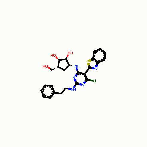 OC[C@H]1C[C@@H](Nc2nc(NCCc3ccccc3)nc(Cl)c2-c2nc3ccccc3s2)[C@H](O)[C@@H]1O